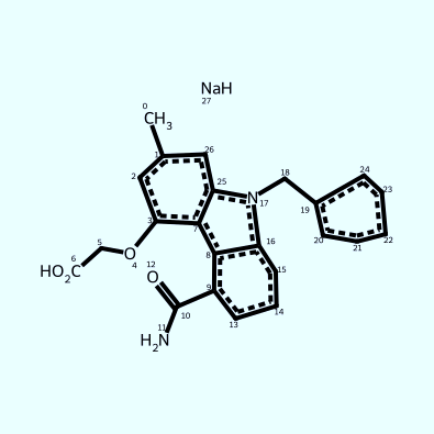 Cc1cc(OCC(=O)O)c2c3c(C(N)=O)cccc3n(Cc3ccccc3)c2c1.[NaH]